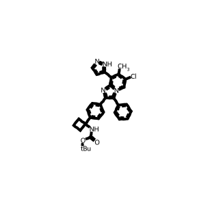 Cc1c(Cl)cn2c(-c3ccccc3)c(-c3ccc(C4(NC(=O)OC(C)(C)C)CCC4)cc3)nc2c1-c1ccn[nH]1